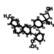 COc1ccccc1-c1cc2cnc3cc(C)nn3c2nc1-c1ccc([C@]2(N)C[C@H](O)C2)cc1